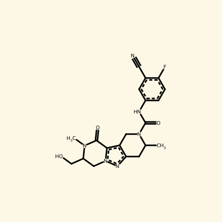 CC1Cc2nn3c(c2CN1C(=O)Nc1ccc(F)c(C#N)c1)C(=O)N(C)C(CO)C3